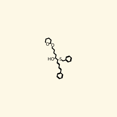 O[C@@H](CCCCOC1CCCCO1)[C@@H](/C=C/C=C/c1ccccc1)SCc1ccccc1